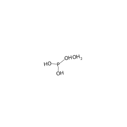 O.OP(O)O